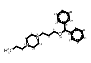 CCCN1CCN(CCCOC(c2ccccc2)c2ccccc2)CC1